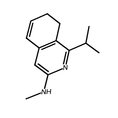 CNc1cc2c(c(C(C)C)n1)CCC=C2